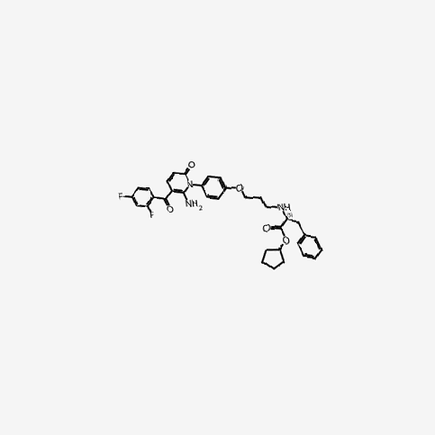 Nc1c(C(=O)c2ccc(F)cc2F)ccc(=O)n1-c1ccc(OCCCN[C@@H](Cc2ccccc2)C(=O)OC2CCCC2)cc1